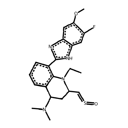 CCN1c2c(-c3nc4cc(OC)c(F)cc4[nH]3)cccc2C(N(C)C)CC1C=S=O